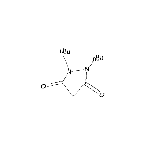 CCCCN1C(=O)CC(=O)N1CCCC